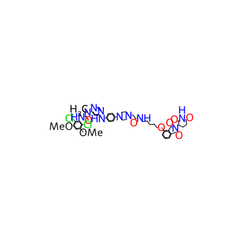 COc1cc(OC)c(Cl)c(NC(=O)N(C)c2cc(Nc3ccc(N4CCN(CC(=O)NCCCCCOc5cccc6c5C(=O)N(C5CCC(=O)NC5=O)C6=O)CC4)cc3)ncn2)c1Cl